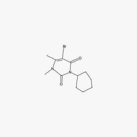 Cc1c(Br)c(=O)n(C2CCCCC2)c(=O)n1C